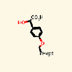 CCCCCCCCOc1ccc(C(O)C(=O)O)cc1